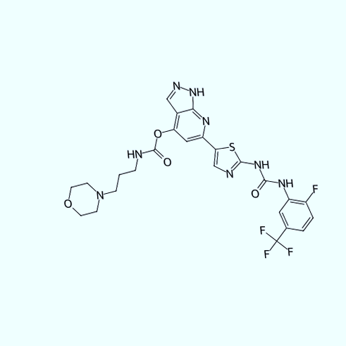 O=C(Nc1ncc(-c2cc(OC(=O)NCCCN3CCOCC3)c3cn[nH]c3n2)s1)Nc1cc(C(F)(F)F)ccc1F